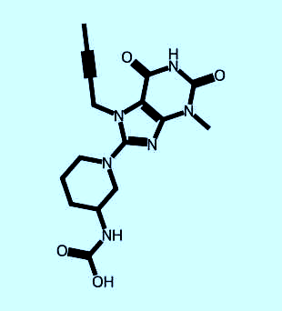 CC#CCn1c(N2CCCC(NC(=O)O)C2)nc2c1c(=O)[nH]c(=O)n2C